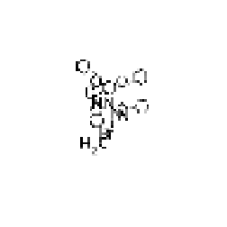 C=CCCCn1nc(-c2ccccc2)cc1Nc1cc(OCc2ccccc2)cc(OCc2ccccc2)c1C(=O)N1Cc2ccc(Br)cc2C1